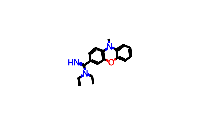 CCN(CC)C(=N)c1ccc2c(c1)Oc1ccccc1N2C